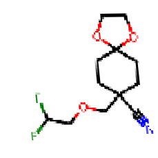 N#CC1(COCC(F)F)CCC2(CC1)OCCO2